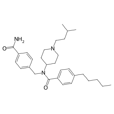 CCCCCc1ccc(C(=O)N(Cc2ccc(C(N)=O)cc2)C2CCN(CCC(C)C)CC2)cc1